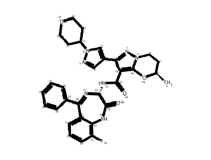 C[C@@H]1CCn2nc(-c3cnn(C4CCOCC4)c3)c(C(=O)N[C@H]3N=C(c4ccccc4)c4cccc(F)c4NC3=O)c2O1